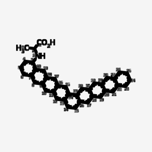 CC(Nc1cccc2cc3cc4cc5ccc6cc7cc8cc9ccccc9cc8cc7cc6c5cc4cc3cc12)C(=O)O